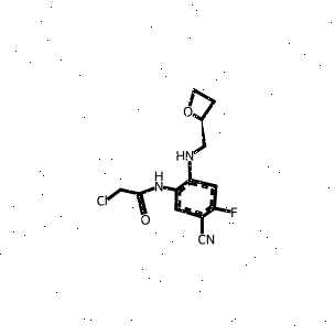 N#Cc1cc(NC(=O)CCl)c(NC[C@@H]2CCO2)cc1F